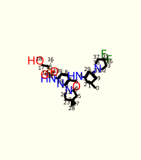 Cc1cc(NC(=O)c2ccc(NS(=O)(=O)[C@@H](C)CO)nc2N2CCC3(CC2)CC3)cc(N2CCC(F)(F)CC2)c1